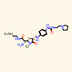 CCN1C(=O)[C@@H](CNc2ccc(NC(=O)NCCN3CCCC3)cc2)SC1[C@H](N)C(=O)NCCNC(C)=O